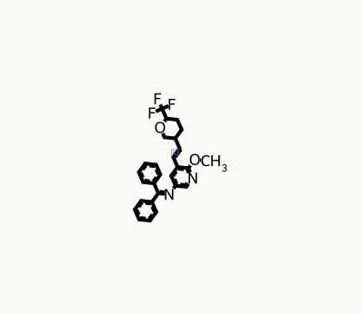 COc1ncc(N=C(c2ccccc2)c2ccccc2)cc1/C=C/C1CCC(C(F)(F)F)OC1